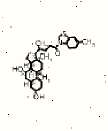 Cc1ccc2c(c1)SCN2C(=O)CC[C@@H](C)[C@H]1CC[C@H]2[C@@H]3[C@H](O)C[C@@H]4C[C@H](O)CC[C@]4(C)[C@H]3CC[C@]12C